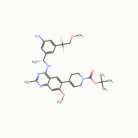 COCC(F)(F)c1cc(N)cc([C@@H](C)Nc2nc(C)nc3cc(OC)c(C4=CCN(C(=O)OC(C)(C)C)CC4)cc23)c1